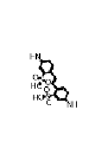 N=C1C=C(S(=O)(=O)O)C(C=CC2=CCC(=N)C=C2S(=O)(=O)O)=CC1